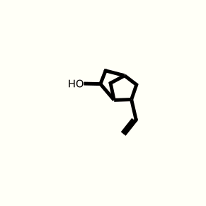 C=CC1CC2CC(O)C1C2